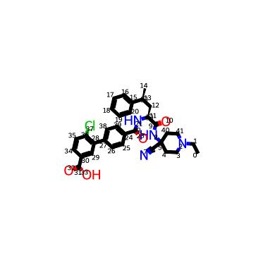 CCN1CCC(C#N)(NC(=O)[C@H](C[C@H](C)c2ccccc2)NC(=O)c2ccc(-c3cc(C(=O)O)ccc3Cl)cc2)CC1